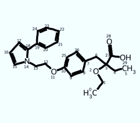 CCOC(CC)(Cc1ccc(OCCn2cccc2-c2ccccc2)cc1)C(=O)O